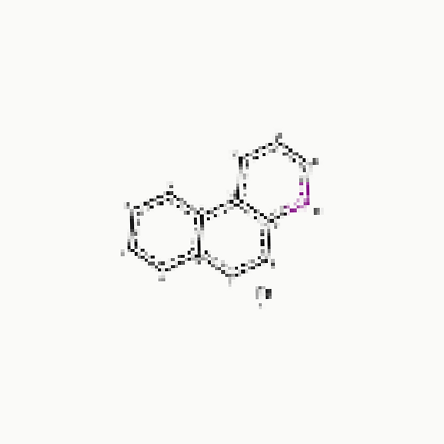 [Fe].c1ccc2c(c1)ccc1pcccc12